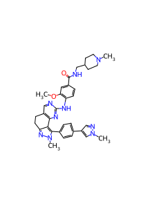 COc1cc(C(=O)NCC2CCN(C)CC2)ccc1Nc1ncc2c(n1)-c1c(nn(C)c1-c1ccc(-c3cnn(C)c3)cc1)CC2